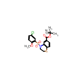 COc1ccc(Cl)cc1S(=O)(=O)N1CCSc2ccc(C(=O)OC(C)(C)C)cc21